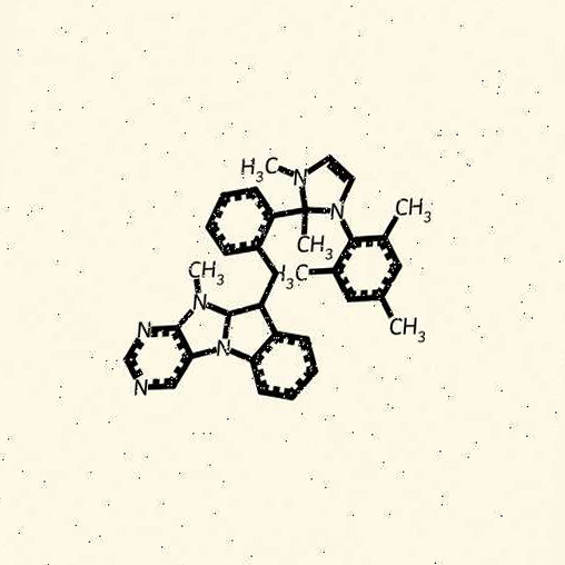 Cc1cc(C)c(N2C=CN(C)C2(C)c2ccccc2CC2c3ccccc3N3c4cncnc4N(C)C23)c(C)c1